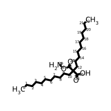 CCCCCCCCCCCC(CCCCCCCCCCC)(C(=O)O)C(=O)ON